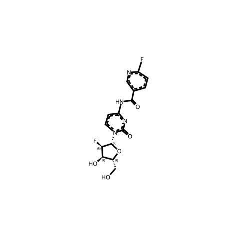 O=C(Nc1ccn([C@@H]2O[C@H](CO)[C@@H](O)[C@H]2F)c(=O)n1)c1ccc(F)nc1